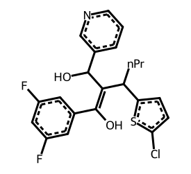 CCCC(/C(=C(\O)c1cc(F)cc(F)c1)C(O)c1cccnc1)c1ccc(Cl)s1